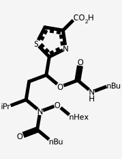 CCCCCCON(C(=O)CCCC)C(CC(OC(=O)NCCCC)c1nc(C(=O)O)cs1)C(C)C